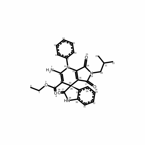 CCOC(=O)C1=C(N)N(c2ccccc2)C2=C(C(=O)N(CC(C)C)C2=O)[C@]12C(=O)Nc1ccccc12